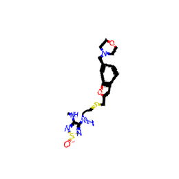 CNc1n[s+]([O-])nc1NCCSCc1cc2ccc(CN3CCOCC3)cc2o1